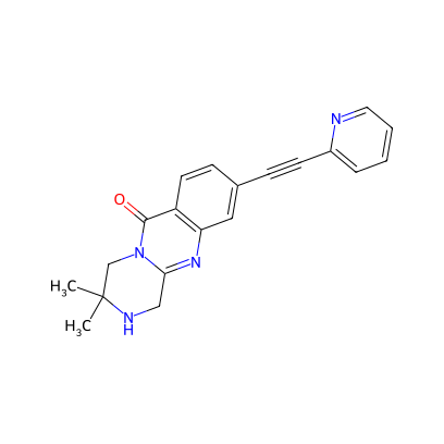 CC1(C)Cn2c(nc3cc(C#Cc4ccccn4)ccc3c2=O)CN1